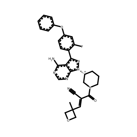 CC1(C=C(C#N)C(=O)N2CCC[C@@H](n3nc(-c4ccc(Oc5ccccc5)cc4F)c4c(N)ncnc43)C2)COC1